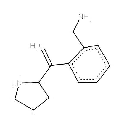 C=C(c1ccccc1CN)C1CCCN1